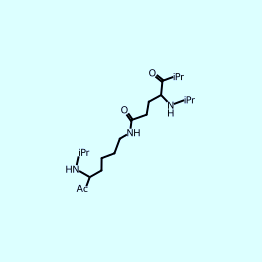 CC(=O)C(CCCCNC(=O)CCC(NC(C)C)C(=O)C(C)C)NC(C)C